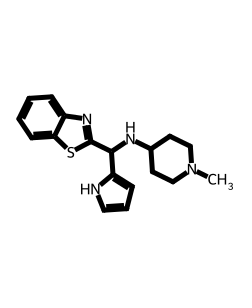 CN1CCC(NC(c2ccc[nH]2)c2nc3ccccc3s2)CC1